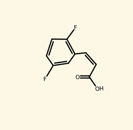 O=C(O)/C=C\c1cc(F)ccc1F